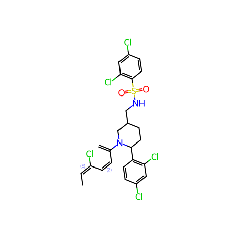 C=C(/C=C\C(Cl)=C/C)N1CC(CNS(=O)(=O)c2ccc(Cl)cc2Cl)CCC1c1ccc(Cl)cc1Cl